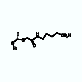 CCO[C@H](C)SCC(=O)NCCCCC(=O)O